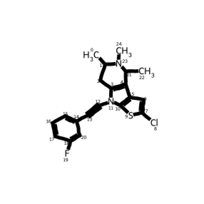 CC1Cc2c(c3cc(Cl)sc3n2C#Cc2cccc(F)c2)C(C)N1C